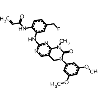 C=CC(=O)Nc1ccc(CF)cc1Nc1ncc2c(n1)N(C)C(=O)N(c1cc(OC)cc(OC)c1)C2